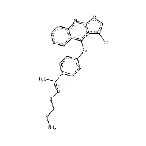 C/C(=N\OCCN)c1ccc(Nc2c3ccccc3nc3occ(Cl)c23)cc1